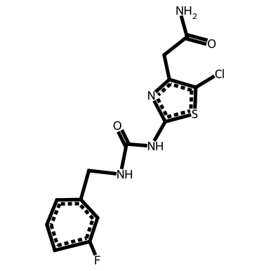 NC(=O)Cc1nc(NC(=O)NCc2cccc(F)c2)sc1Cl